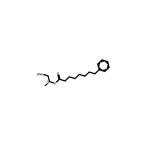 CCCCCCCCCCC[C@H](C)OC(=O)CCCCCCCc1ccccc1